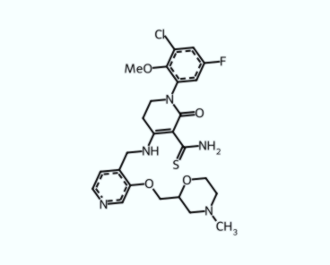 COc1c(Cl)cc(F)cc1N1CCC(NCc2ccncc2OCC2CN(C)CCO2)=C(C(N)=S)C1=O